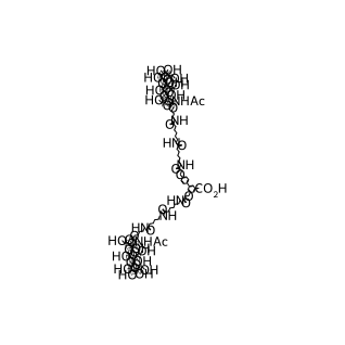 CC(=O)N[C@H]1[C@H](OCCCNC(=O)CCCCCNC(=O)CCCCCNC(=O)COc2ccc(-c3cc(OCC(=O)NCCCCCC(=O)NCCCCCC(=O)NCCCO[C@@H]4O[C@H](CO)[C@@H](O[C@@H]5O[C@H](CO)[C@H](O)[C@H](O[C@H]6O[C@H](CO)[C@H](O)[C@H](O)[C@H]6O)[C@H]5O)[C@H](O)[C@H]4NC(C)=O)cc(C(=O)O)c3)cc2)O[C@H](CO)[C@@H](O[C@@H]2O[C@H](CO)[C@H](O)[C@H](O[C@H]3O[C@H](CO)[C@H](O)[C@H](O)[C@H]3O)[C@H]2O)[C@@H]1O